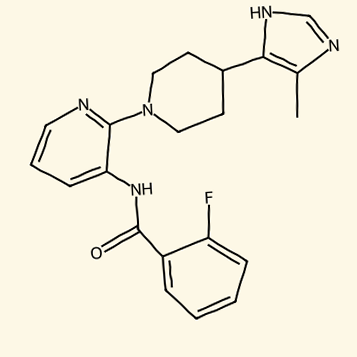 Cc1nc[nH]c1C1CCN(c2ncccc2NC(=O)c2ccccc2F)CC1